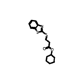 O=C(CCSc1nc2ccccc2s1)OC1CCCCC1